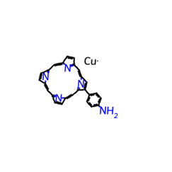 Nc1ccc(C2=CC3=CC4=NC(=CC5=NC(=CC6=NC(=CC2=N3)C=C6)C=C5)C=C4)cc1.[Cu]